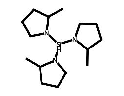 CC1CCCN1[SiH](N1CCCC1C)N1CCCC1C